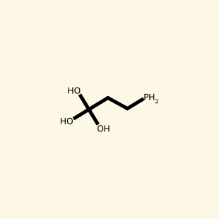 OC(O)(O)CCP